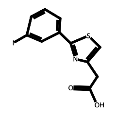 O=C(O)Cc1csc(-c2cccc(I)c2)n1